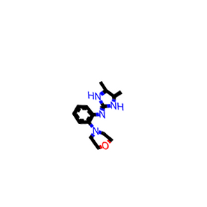 CC1NC(=Nc2ccccc2N2CCOCC2)NC1C